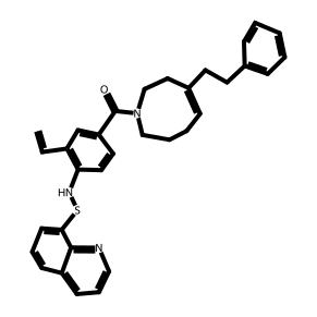 C=Cc1cc(C(=O)N2CCC/C=C(/CCc3ccccc3)CC2)ccc1NSc1cccc2cccnc12